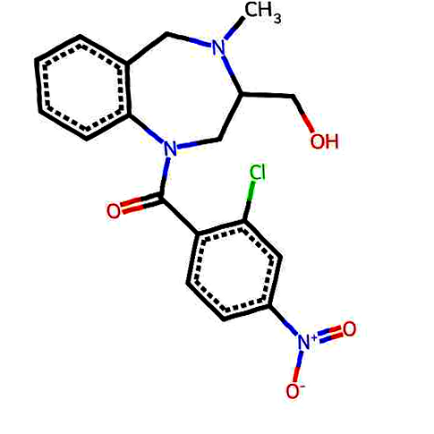 CN1Cc2ccccc2N(C(=O)c2ccc([N+](=O)[O-])cc2Cl)CC1CO